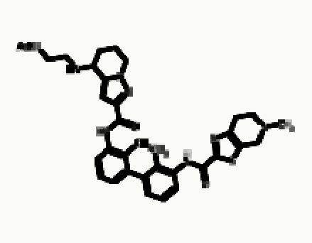 CC(=O)NCCNC1CCCn2nc(C(=O)Nc3cccc(-c4cccc(NC(=O)c5nc6c(s5)CN(C)CC6)c4C)c3C)cc21